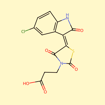 O=C(O)CCN1C(=O)SC(=C2C(=O)Nc3ccc(Cl)cc32)C1=O